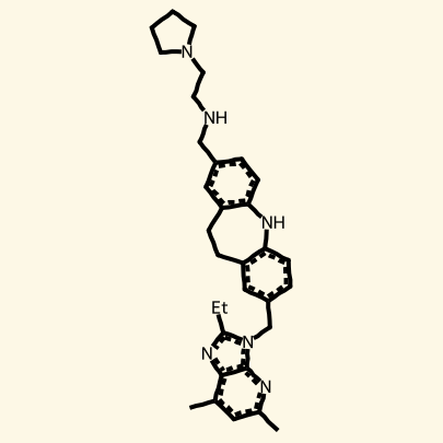 CCc1nc2c(C)cc(C)nc2n1Cc1ccc2c(c1)CCc1cc(CNCCN3CCCC3)ccc1N2